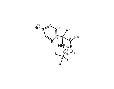 CC(C)(C)[S@+]([O-])NC(F)(c1ccc(Br)cc1)C(F)F